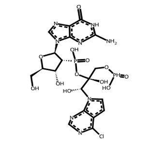 Nc1nc2c(ncn2[C@@H]2O[C@H](CO)[C@@H](O)[C@H]2P(=O)(O)O[C@](O)(CO[PH](=O)O)[C@@H](O)n2ccc3c(Cl)ncnc32)c(=O)[nH]1